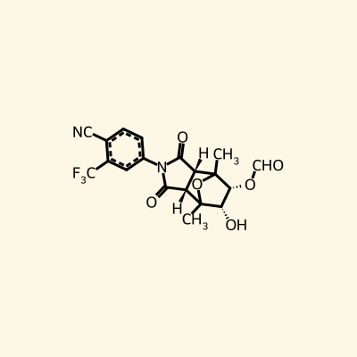 CC12OC(C)([C@H](OC=O)[C@@H]1O)[C@H]1C(=O)N(c3ccc(C#N)c(C(F)(F)F)c3)C(=O)[C@H]12